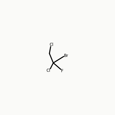 FC(Cl)(Br)CCl